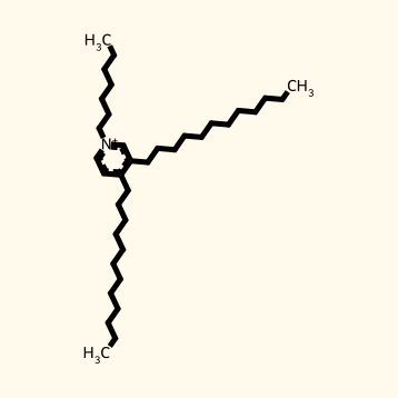 CCCCCCCCCCCCc1cc[n+](CCCCCCC)cc1CCCCCCCCCCCC